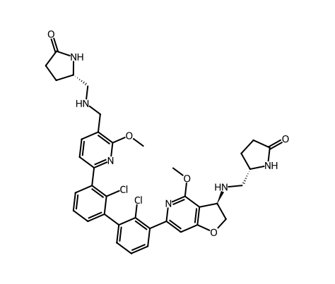 COc1nc(-c2cccc(-c3cccc(-c4cc5c(c(OC)n4)[C@@H](NC[C@@H]4CCC(=O)N4)CO5)c3Cl)c2Cl)ccc1CNC[C@@H]1CCC(=O)N1